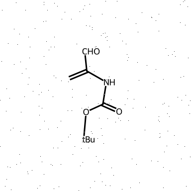 C=C(C=O)NC(=O)OC(C)(C)C